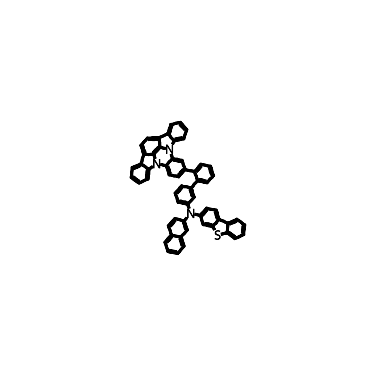 c1cc(-c2ccccc2-c2ccc3c(c2)n2c4ccccc4c4ccc5c6ccccc6n3c5c42)cc(N(c2ccc3ccccc3c2)c2ccc3c(c2)sc2ccccc23)c1